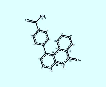 NC(=O)c1ccc(-c2ccnc3[nH]c(=O)c4ccccc4c23)cc1